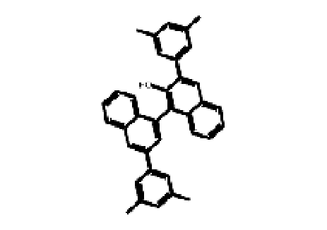 Cc1cc(C)cc(-c2cc(-c3c(O)c(-c4cc(C)cc(C)c4)cc4ccccc34)c3ccccc3c2)c1